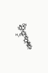 C[C@@H]1CN(c2ccc(C#N)c3ncccc23)C[C@H](CN2Cc3ccc(N4CC5COCC(C4)N5)cc3C2)O1